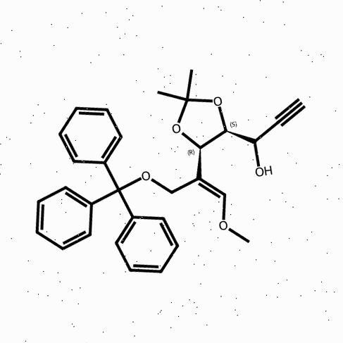 C#CC(O)[C@@H]1OC(C)(C)O[C@@H]1C(=COC)COC(c1ccccc1)(c1ccccc1)c1ccccc1